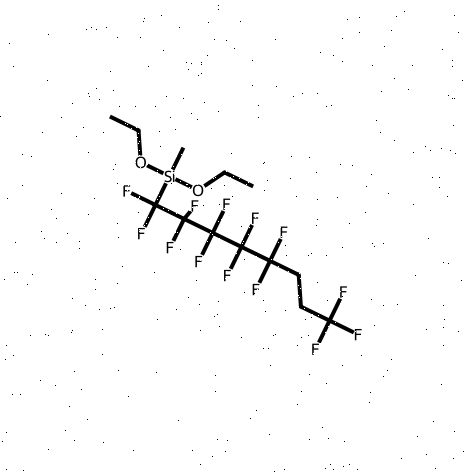 CCO[Si](C)(OCC)C(F)(F)C(F)(F)C(F)(F)C(F)(F)C(F)(F)CCC(F)(F)F